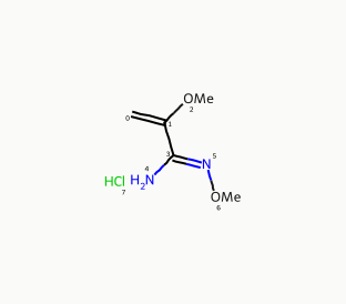 C=C(OC)C(N)=NOC.Cl